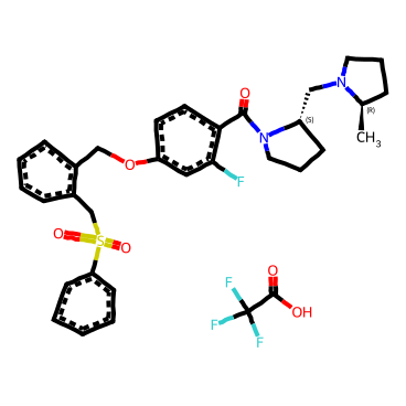 C[C@@H]1CCCN1C[C@@H]1CCCN1C(=O)c1ccc(OCc2ccccc2CS(=O)(=O)c2ccccc2)cc1F.O=C(O)C(F)(F)F